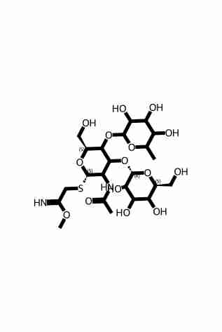 COC(=N)CS[C@@H]1O[C@@H](CO)C(OC2OC(C)C(O)C(O)C2O)C(O[C@@H]2O[C@@H](CO)C(O)C(O)C2O)C1NC(C)=O